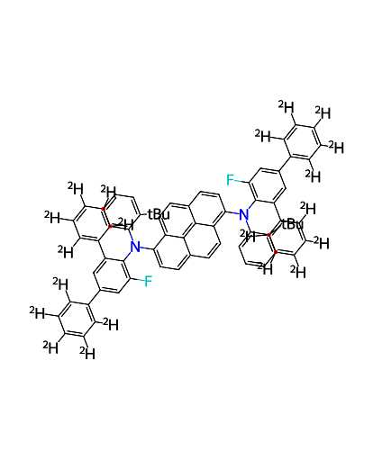 [2H]c1c([2H])c([2H])c(-c2cc(F)c(N(c3ccccc3C(C)(C)C)c3ccc4ccc5c(N(c6ccccc6C(C)(C)C)c6c(F)cc(-c7c([2H])c([2H])c([2H])c([2H])c7[2H])cc6-c6c([2H])c([2H])c([2H])c([2H])c6[2H])ccc6ccc3c4c65)c(-c3c([2H])c([2H])c([2H])c([2H])c3[2H])c2)c([2H])c1[2H]